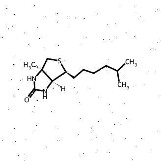 CC(C)CCCC[C@@H]1SC[C@]2(C)NC(=O)N[C@H]12